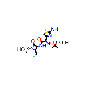 CC(C)(O/N=C(/C(=O)NC1C(=O)N(S(=O)(=O)O)C1CF)c1csc(N)n1)C(=O)O